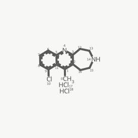 Cc1c2c(nc3cccc(Cl)c13)CCNCC2.Cl.Cl